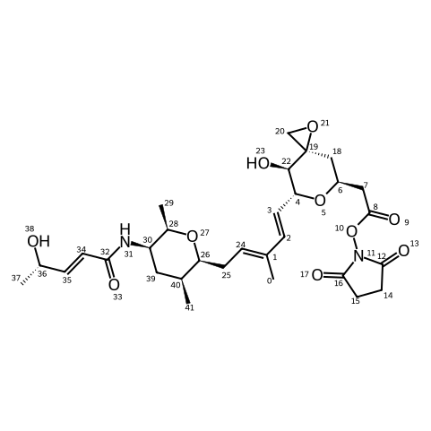 CC(C=C[C@H]1O[C@H](CC(=O)ON2C(=O)CCC2=O)C[C@@]2(CO2)[C@@H]1O)=CC[C@@H]1O[C@H](C)[C@H](NC(=O)C=C[C@H](C)O)C[C@@H]1C